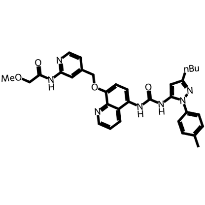 CCCCc1cc(NC(=O)Nc2ccc(OCc3ccnc(NC(=O)COC)c3)c3ncccc23)n(-c2ccc(C)cc2)n1